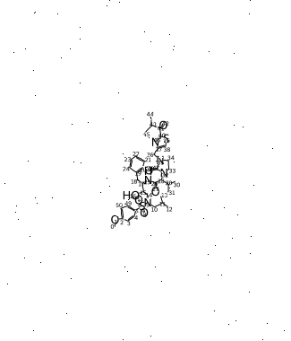 COc1ccc(S(=O)(=O)N(CC(C)C)C[C@@H](O)[C@@H](Cc2ccccc2)NC(=O)[C@H](C(C)C)N2CCN(Cc3csc(C(=O)C(C)C)n3)C2=O)cc1